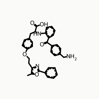 Cc1oc(-c2ccccc2)nc1CCOc1ccc(CC(Nc2ccccc2C(=O)c2ccc(CN)cc2)C(=O)O)cc1